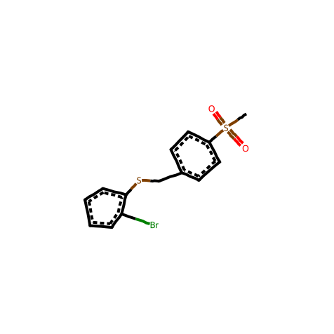 CS(=O)(=O)c1ccc(CSc2ccccc2Br)cc1